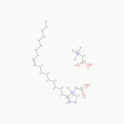 CCCCCCCC/C=C\CCCCCCCCC1=NCC[N+]1(C)CC(=O)O.C[N+](C)(C)CC(=O)O